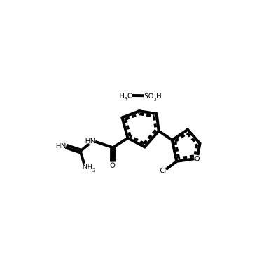 CS(=O)(=O)O.N=C(N)NC(=O)c1cccc(-c2ccoc2Cl)c1